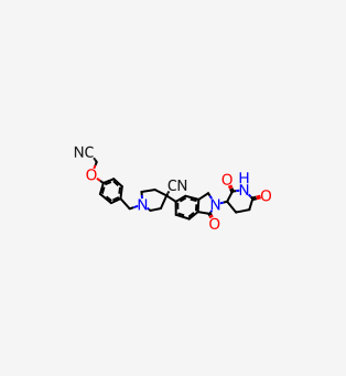 N#CCOc1ccc(CN2CCC(C#N)(c3ccc4c(c3)CN(C3CCC(=O)NC3=O)C4=O)CC2)cc1